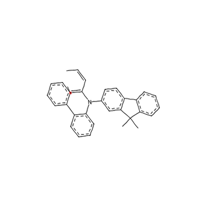 C/C=C\C(=C/C)N(c1ccc2c(c1)C(C)(C)c1ccccc1-2)c1ccccc1-c1ccccc1